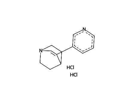 C1=C(c2cccnc2)C2CCN1CC2.Cl.Cl